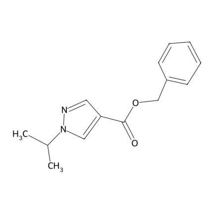 CC(C)n1cc(C(=O)OCc2ccccc2)cn1